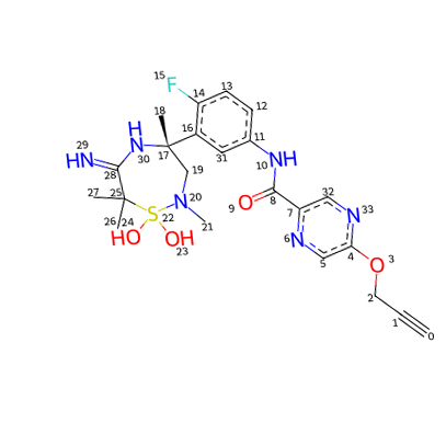 C#CCOc1cnc(C(=O)Nc2ccc(F)c([C@]3(C)CN(C)S(O)(O)C(C)(C)C(=N)N3)c2)cn1